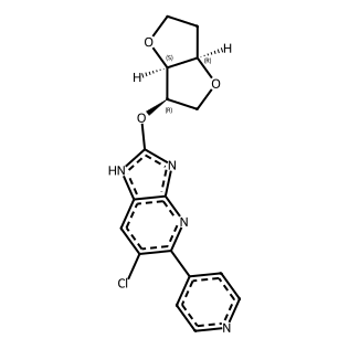 Clc1cc2[nH]c(O[C@@H]3CO[C@@H]4CCO[C@@H]43)nc2nc1-c1ccncc1